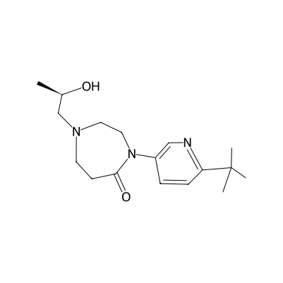 C[C@@H](O)CN1CCC(=O)N(c2ccc(C(C)(C)C)nc2)CC1